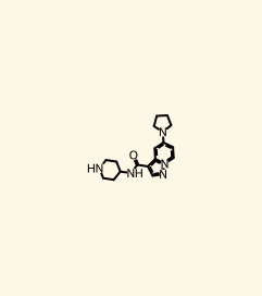 O=C(NC1CCNCC1)c1cnn2ccc(N3CCCC3)cc12